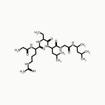 CCC(NC(=O)C(CCCNC(=N)N)NC(=O)CN)C(=O)NC(CC(C)C)C(=O)NCC(=O)NC(C)CC(C)C